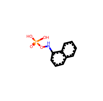 O=P(O)(O)ONc1cccc2ccccc12